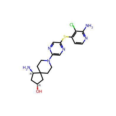 Nc1nccc(Sc2cnc(N3CCC4(CC3)C[C@@H](O)C[C@H]4N)cn2)c1Cl